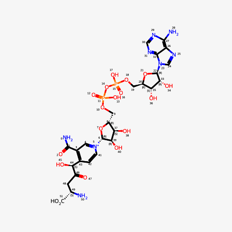 NC(=O)c1c[n+]([C@@H]2O[C@H](COP(=O)(O)OP(=O)(O)OC[C@H]3O[C@@H](n4cnc5c(N)ncnc54)[C@H](O)[C@@H]3O)[C@@H](O)[C@H]2O)ccc1[C@H](O)C(=O)C[C@H](N)C(=O)O